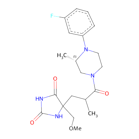 COCC1(CC(C)C(=O)N2CCN(c3cccc(F)c3)[C@@H](C)C2)NC(=O)NC1=O